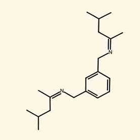 CC(CC(C)C)=NCc1cccc(CN=C(C)CC(C)C)c1